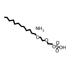 CCCCCCCCCCCCOCCOCCOS(=O)(=O)O.N